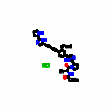 CCCCCc1cc(-c2cnc(C3CCCN3C(=O)[C@@H](NC(=O)OC)C(C)C)[nH]2)ccc1C#CC#Cc1cnc(C2CCCN2)[nH]1.Cl